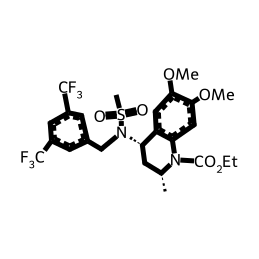 CCOC(=O)N1c2cc(OC)c(OC)cc2[C@@H](N(Cc2cc(C(F)(F)F)cc(C(F)(F)F)c2)S(C)(=O)=O)C[C@H]1C